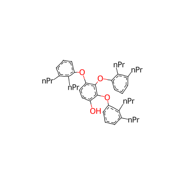 CCCc1cccc(Oc2ccc(O)c(Oc3cccc(CCC)c3CCC)c2Oc2cccc(CCC)c2CCC)c1CCC